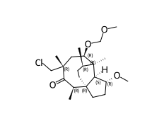 COCO[C@@H]1C[C@@](C)(CCl)C(=O)[C@H](C)[C@@]23CC[C@@H](C)[C@]1(C)[C@H]2[C@H](OC)CC3